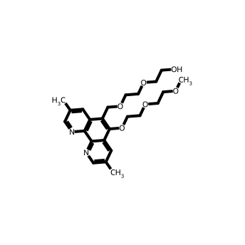 COCCOCCOc1c(COCCOCCO)c2cc(C)cnc2c2ncc(C)cc12